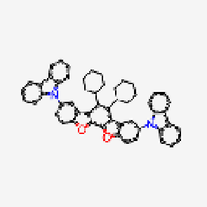 c1ccc2c(c1)c1ccccc1n2-c1ccc2oc3c4oc5ccc(-n6c7ccccc7c7ccccc76)cc5c4c(C4CCCCC4)c(C4CCCCC4)c3c2c1